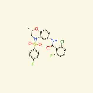 C[C@H]1CN(S(=O)(=O)c2ccc(F)cc2)c2cc(NC(=O)c3c(F)cccc3Cl)ccc2O1